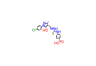 Cc1nn(-c2ccc(Cl)cc2)c(O)c1C=NNC(=S)Nc1ccc(C(=O)O)cc1